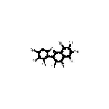 [2H]c1cc2oc3c4c([2H])c([2H])c([2H])c([2H])c4c([2H])c([2H])c3c2c([2H])c1[2H]